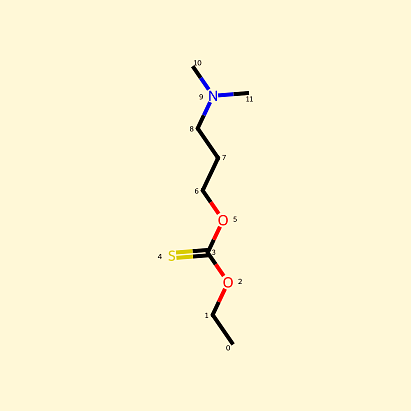 CCOC(=S)OCCCN(C)C